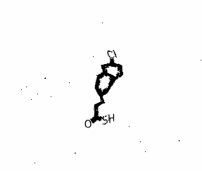 O=C(S)CCc1ccc2cc(Cl)ccc2c1